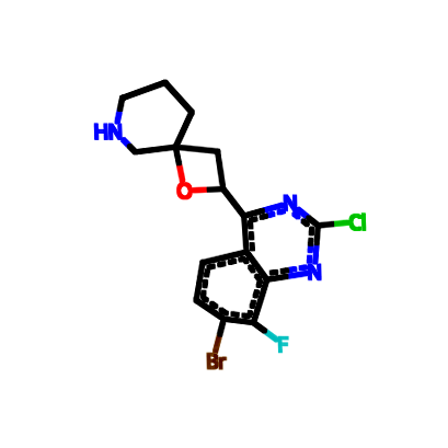 Fc1c(Br)ccc2c(C3CC4(CCCNC4)O3)nc(Cl)nc12